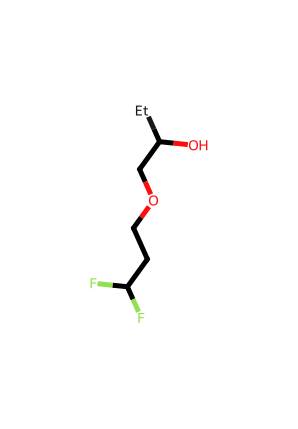 CCC(O)COCCC(F)F